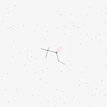 BC(C)(C)C(=O)CNC